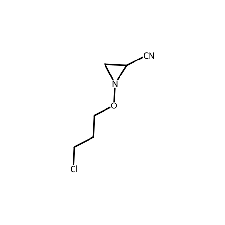 N#CC1CN1OCCCCl